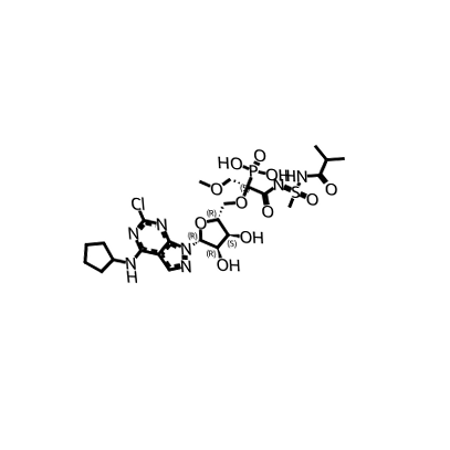 COC[C@@](OC[C@H]1O[C@@H](n2ncc3c(NC4CCCC4)nc(Cl)nc32)[C@H](O)[C@@H]1O)(C(=O)N=S(C)(=O)NC(=O)C(C)C)P(=O)(O)O